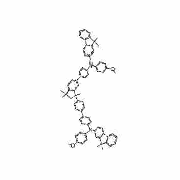 COc1ccc(N(c2ccc(-c3ccc(C4(C)CC(C)(C)c5ccc(-c6ccc(N(c7ccc(OC)cc7)c7ccc8c(c7)C(C)(C)c7ccccc7-8)cc6)cc54)cc3)cc2)c2ccc3c(c2)C(C)(C)c2ccccc2-3)cc1